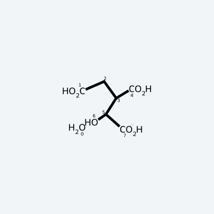 O.O=C(O)CC(C(=O)O)C(O)C(=O)O